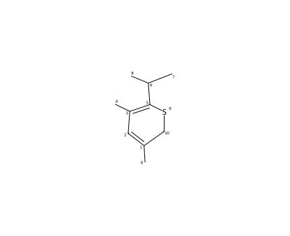 CC1=CC(C)=C(C(C)C)SC1